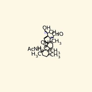 CC(=O)N[C@]1(C)CC[C@@H](C)[C@H]([C@]2(C)CC[C@]3(C)C(=CC=C(/C(C)=C/O)/C3=C\C=O)[C@@]2(C)CO)C1